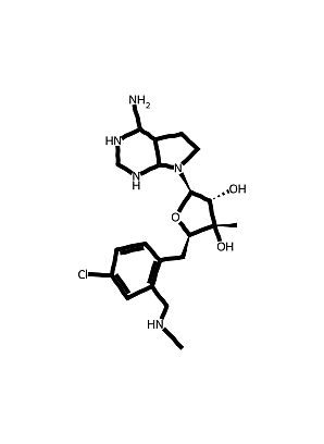 CNCc1cc(Cl)ccc1C[C@H]1O[C@@H](N2CCC3C(N)NCNC32)[C@H](O)[C@]1(C)O